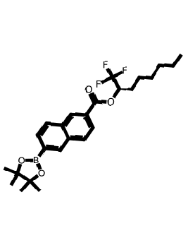 CCCCCC[C@@H](OC(=O)c1ccc2cc(B3OC(C)(C)C(C)(C)O3)ccc2c1)C(F)(F)F